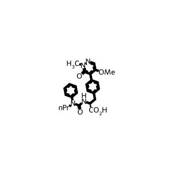 CCCN(C(=O)N[C@@H](Cc1ccc(-c2c(OC)cnn(C)c2=O)cc1)C(=O)O)c1ccccc1